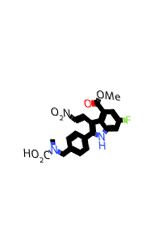 COC(=O)c1cc(F)cc2[nH]c(-c3ccc(CN(C)C(=O)O)cc3)c(/C=C/[N+](=O)[O-])c12